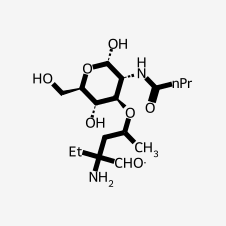 CCCC(=O)N[C@@H]1[C@@H](OC(C)CC(N)([C]=O)CC)[C@H](O)[C@@H](CO)O[C@@H]1O